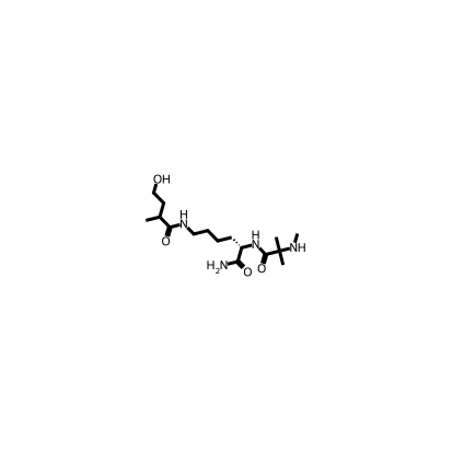 CNC(C)(C)C(=O)N[C@@H](CCCCNC(=O)C(C)CCO)C(N)=O